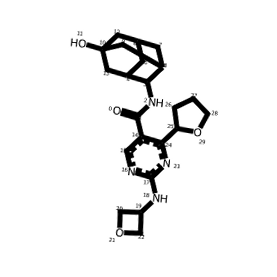 O=C(NC1C2CC3CC1CC(O)(C3)C2)c1cnc(NC2COC2)nc1C1CCCO1